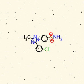 Cc1nc(-c2cccc(Cl)c2)n(-c2ccc(S(N)(=O)=O)cc2)n1